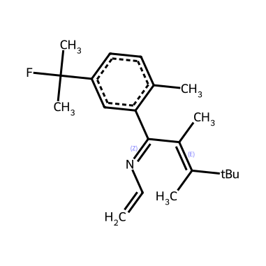 C=C/N=C(\C(C)=C(/C)C(C)(C)C)c1cc(C(C)(C)F)ccc1C